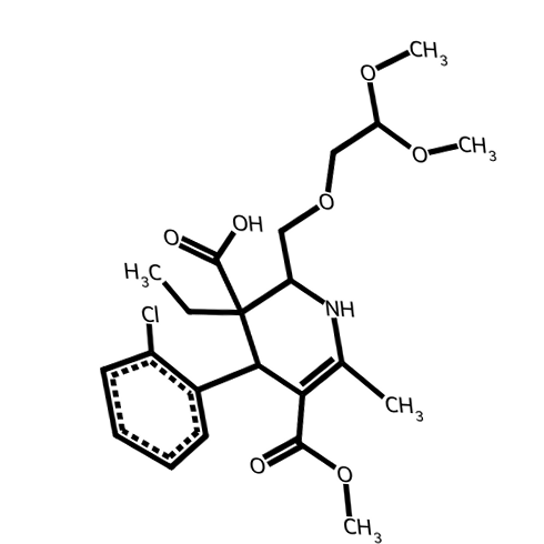 CCC1(C(=O)O)C(COCC(OC)OC)NC(C)=C(C(=O)OC)C1c1ccccc1Cl